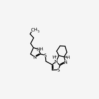 CCCCC1CN=C(SCC2=CSC3=N[C@H]4CCCC[C@@H]4N23)N1